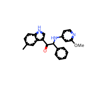 COc1cc(NC(C(=O)c2c[nH]c3ccc(C)cc23)c2ccccc2)ccn1